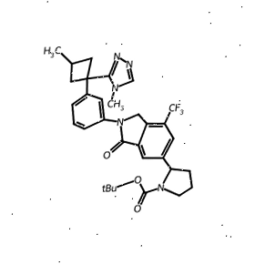 CC1CC(c2cccc(N3Cc4c(cc(C5CCCN5C(=O)OC(C)(C)C)cc4C(F)(F)F)C3=O)c2)(c2nncn2C)C1